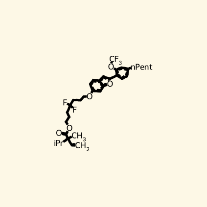 C=CC(C)(C(=O)OCCCC(F)(F)CCCOc1ccc2cc(-c3ccc(CCCCC)cc3OC(F)(F)F)oc2c1)C(C)C